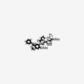 CN[C@@H](C)C(=O)N[C@H](C(=O)N1CCC[C@H]1C(=O)Nc1cc2c(Nc3ccccc3)ncnc2cc1OC)C(C)(C)C